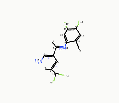 C\C(=C/C(=C\N)C(/C)=N/c1cc(F)c(F)cc1C)C(F)F